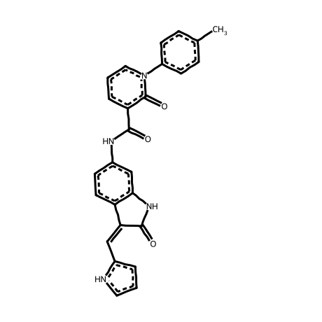 Cc1ccc(-n2cccc(C(=O)Nc3ccc4c(c3)NC(=O)C4=Cc3ccc[nH]3)c2=O)cc1